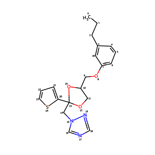 CCCc1cccc(OCC2COC(Cn3cncn3)(c3cccs3)O2)c1